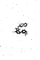 Cn1ncc2ccc(-c3ccc(N)c4c3CN(CC(C#N)CN3CCCCC3)C4=O)cc21